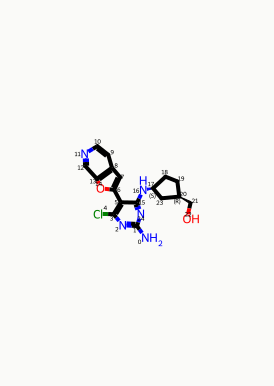 Nc1nc(Cl)c(-c2cc3ccncc3o2)c(N[C@H]2CC[C@@H](CO)C2)n1